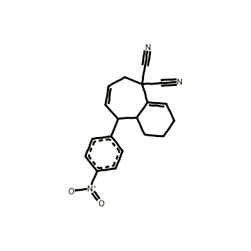 N#CC1(C#N)CC=CC(c2ccc([N+](=O)[O-])cc2)C2CCCC=C21